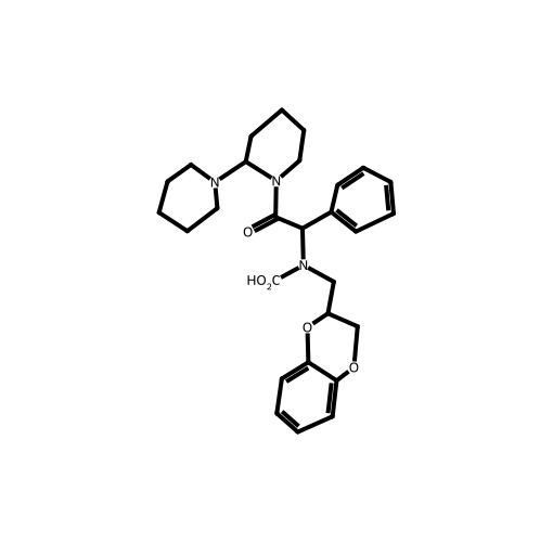 O=C(O)N(CC1COc2ccccc2O1)C(C(=O)N1CCCCC1N1CCCCC1)c1ccccc1